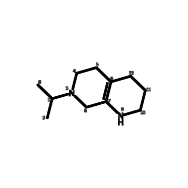 CC(C)N1CCC2=C(C1)NCCC2